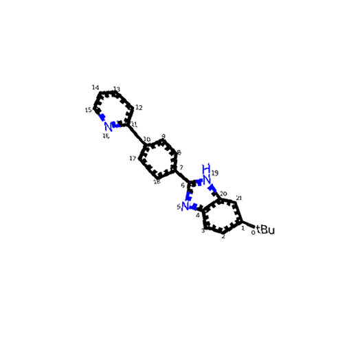 CC(C)(C)c1ccc2nc(-c3ccc(-c4ccccn4)cc3)[nH]c2c1